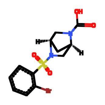 O=C(O)N1C[C@H]2C[C@@H]1CN2S(=O)(=O)c1ccccc1Br